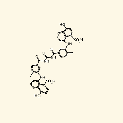 Cc1ccc(C(=O)NC(=O)NC(=O)c2ccc(C)c(Nc3cccc4c(O)ccc(S(=O)(=O)O)c34)c2)cc1Nc1cccc2c(O)ccc(S(=O)(=O)O)c12